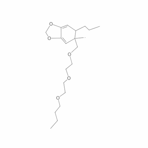 [CH2]C1(COCCOCCOCCCC)C=C2OCOC2=CC1CCC